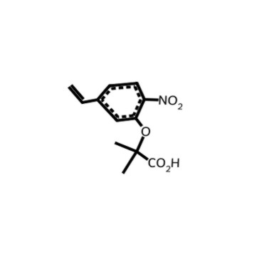 C=Cc1ccc([N+](=O)[O-])c(OC(C)(C)C(=O)O)c1